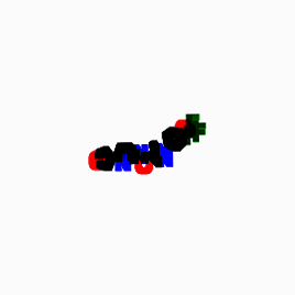 Cc1c(C(=O)Nc2ccc(C3CCOCC3)nc2)cnn1-c1ccc(OC(F)(F)F)cc1